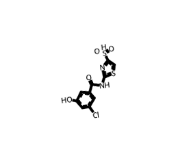 O=C(Nc1nc([SH](=O)=O)cs1)c1cc(O)cc(Cl)c1